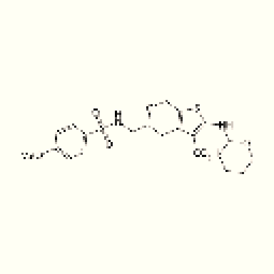 COc1ccc(S(=O)(=O)NCC2Cc3c(sc(NC4CCCCO4)c3C(=O)O)CO2)cc1